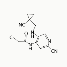 N#Cc1cc(NC(=O)CCl)c(NCC2(C#N)CC2)cn1